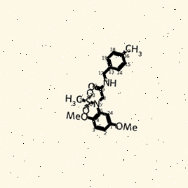 COc1ccc(OC)c(N(CC(=O)NCc2ccc(C)cc2)S(C)(=O)=O)c1